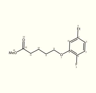 CCc1ccc(F)c(OCCCCC(=O)OC)c1